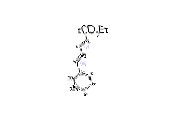 CCOC(=O)/C=C/C=C/c1cccnc1